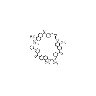 COc1ccc2cc(C(=O)C3CCCN(CC4CC4COc4ccc5cc(C(=O)C6CCCN(CC(C)COc7ccc8cc(C(=O)C9CCCN(C%10CCCC%10)C9)ccc8c7C)C6)ccc5c4C)C3)ccc2c1C